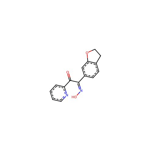 O=C(C(=NO)c1ccc2c(c1)OCC2)c1ccccn1